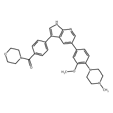 COc1cc(-c2cnc3[nH]cc(-c4ccc(C(=O)N5CCOCC5)cc4)c3c2)ccc1N1CCN(C)CC1